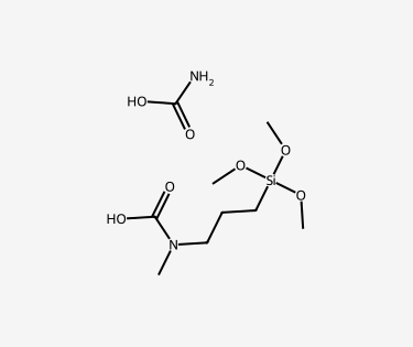 CO[Si](CCCN(C)C(=O)O)(OC)OC.NC(=O)O